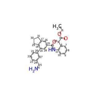 CCOC(=O)Cc1ccccc1NC(=O)c1cc2c(c(-c3cccc(CN)c3)c1)CCC2